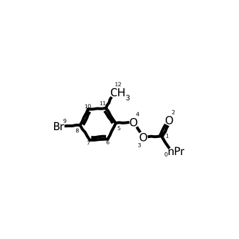 CCCC(=O)OOc1ccc(Br)cc1C